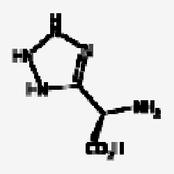 N[C@@H](C(=O)O)C1=NNNN1